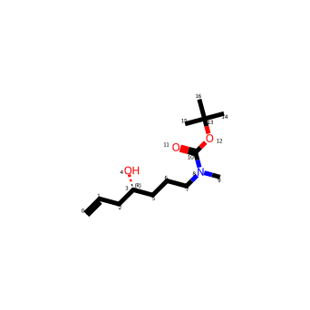 C=CC[C@H](O)CCCN(C)C(=O)OC(C)(C)C